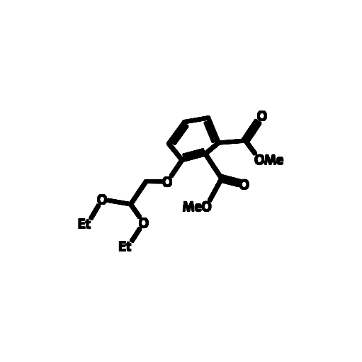 CCOC(COc1cccc(C(=O)OC)c1C(=O)OC)OCC